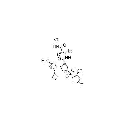 CCC(NC(=O)[C@@H]1C[C@@H](S(=O)(=O)c2ccc(F)cc2C(F)(F)F)CN1c1cc(C)nn1C1CCC1)C(=O)C(=O)NC1CC1